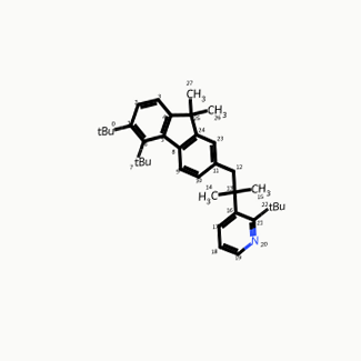 CC(C)(C)c1ccc2c(c1C(C)(C)C)-c1ccc(CC(C)(C)c3cccnc3C(C)(C)C)cc1C2(C)C